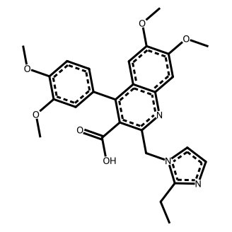 CCc1nccn1Cc1nc2cc(OC)c(OC)cc2c(-c2ccc(OC)c(OC)c2)c1C(=O)O